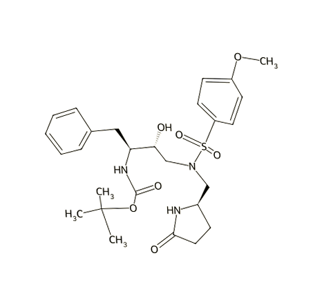 COc1ccc(S(=O)(=O)N(C[C@H]2CCC(=O)N2)C[C@@H](O)[C@H](Cc2ccccc2)NC(=O)OC(C)(C)C)cc1